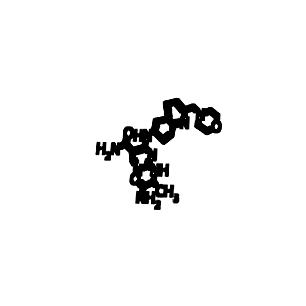 CC(Nc1ncc(C(N)=O)c(Nc2ccc3nc(CN4CCOCC4)ccc3c2)n1)C(N)=O